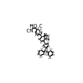 [C-]#[N+]/C(=C\c1cnc(-c2ccc(-c3ccc(N(c4ccccc4)c4ccccc4)s3)c3c2=NCN=3)nc1)C(=O)O